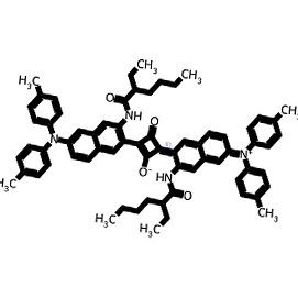 CCCCC(CC)C(=O)Nc1cc2cc(N(c3ccc(C)cc3)c3ccc(C)cc3)ccc2cc1C1=C([O-])/C(=c2/cc3c(cc2NC(=O)C(CC)CCCC)=CC(=[N+](c2ccc(C)cc2)c2ccc(C)cc2)C=C3)C1=O